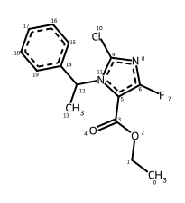 CCOC(=O)c1c(F)nc(Cl)n1C(C)c1ccccc1